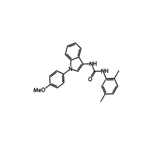 COc1ccc(-n2cc(NC(=O)Nc3cc(C)ccc3C)c3ccccc32)cc1